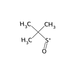 CC(C)(C)[S+]=O